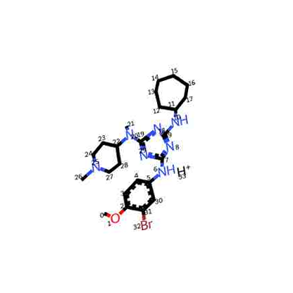 COc1ccc(Nc2nc(NC3CCCCCC3)nc(N(C)C3CCN(C)CC3)n2)cc1Br.[H+]